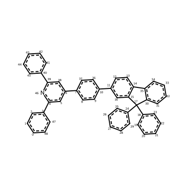 c1ccc(-c2cc(-c3ccc(-c4ccc5c(c4)C(c4ccccc4)(c4ccccc4)c4ccccc4-5)cc3)cc(-c3ccccc3)n2)cc1